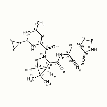 CC(C)C[C@H](NCC1CC1)C(=O)N1C[C@H]2[C@@H]([C@H]1C(=O)N[C@H](C#N)C[C@@H]1CCNC1=O)C2(C)C